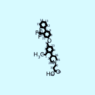 CCc1cc(COc2ccc(-c3ccccc3)c(C(F)(F)F)c2)ccc1C1CCN(CCC(=O)O)CC1